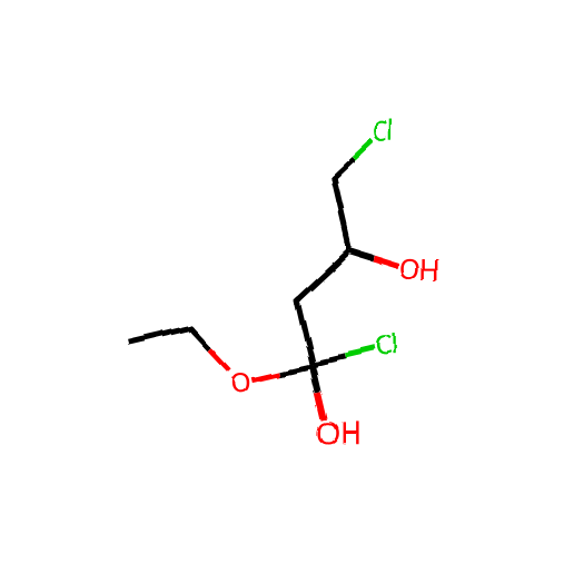 CCOC(O)(Cl)CC(O)CCl